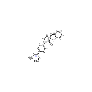 N=C/C(=C\N)c1ccc(N2CCC3(Cc4ccccc4O3)C2=O)cc1